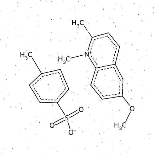 COc1ccc2c(ccc(C)[n+]2C)c1.Cc1ccc(S(=O)(=O)[O-])cc1